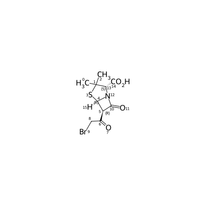 CC1(C)S[C@@H]2[C@H](C(=O)CBr)C(=O)N2[C@H]1C(=O)O